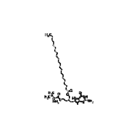 CCCCCCCCCCCCCCCCCCCCCC(=O)OCC(CCOC(=O)[C@@H](N)C(C)C)Cc1nc2nc(N)[nH]c(=O)c2[nH]1